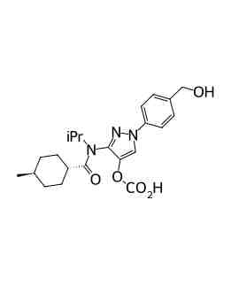 CC(C)N(c1nn(-c2ccc(CO)cc2)cc1OC(=O)O)C(=O)[C@H]1CC[C@H](C)CC1